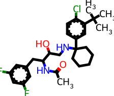 CC(=O)NC(Cc1cc(F)cc(F)c1)C(O)CNC1(c2ccc(Cl)c(C(C)(C)C)c2)CCCCC1